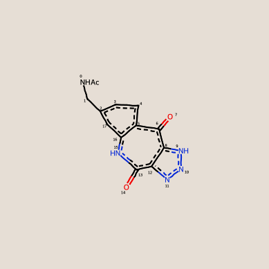 CC(=O)NCc1ccc2c(=O)c3[nH]nnc3c(=O)[nH]c2c1